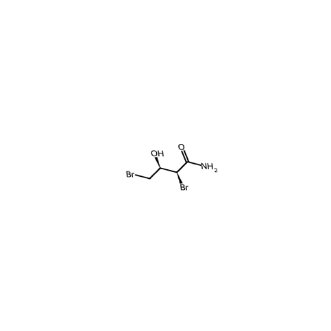 NC(=O)[C@@H](Br)[C@H](O)CBr